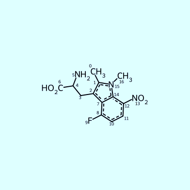 Cc1c(CC(N)C(=O)O)c2c(F)ccc([N+](=O)[O-])c2n1C